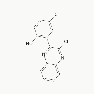 Oc1ccc(Cl)cc1-c1nc2ccccc2nc1Cl